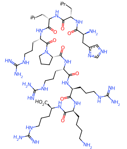 CC(C)C[C@H](NC(=O)[C@H](CC(C)C)NC(=O)[C@@H](N)Cc1c[nH]cn1)C(=O)N[C@@H](CCCNC(=N)N)C(=O)N1CCC[C@H]1C(=O)N[C@@H](CCCNC(=N)N)C(=O)N[C@@H](CCCNC(=N)N)C(=O)N[C@@H](CCCCN)C(=O)N[C@@H](CCCNC(=N)N)C(=O)O